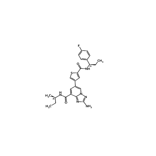 CC[C@@H](C)NC(=O)c1cc(-c2csc(C(=O)N[C@H](CC)c3ccc(F)cc3)c2)cn2nc(N)nc12